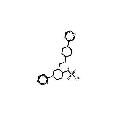 CS(=O)(=O)NC1CCN(c2ccccn2)C[C@H]1COC1CCC(c2cnccn2)CC1